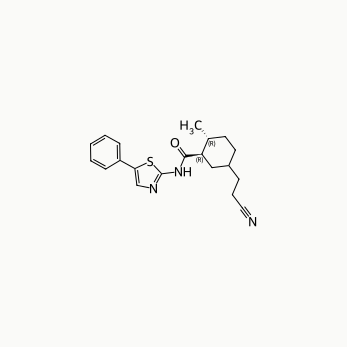 C[C@@H]1CCC(CCC#N)C[C@H]1C(=O)Nc1ncc(-c2ccccc2)s1